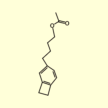 CC(=O)OCCCCc1ccc2c(c1)CC2